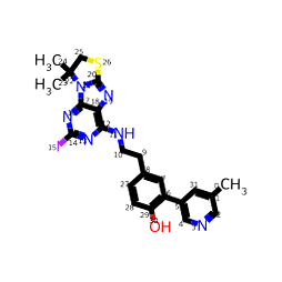 Cc1cncc(-c2cc(CCNc3nc(I)nc4c3nc3n4C(C)(C)CS3)ccc2O)c1